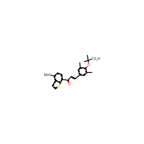 CSc1ccc(C(=O)/C=C/c2cc(C)c(OC(C)(C)C(=O)O)c(C)c2)c2sccc12